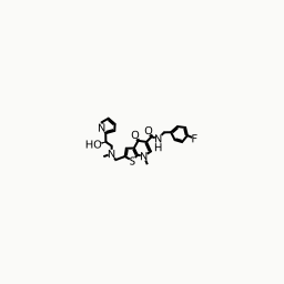 CN(Cc1cc2c(=O)c(C(=O)NCc3ccc(F)cc3)cn(C)c2s1)C[C@@H](O)c1ccccn1